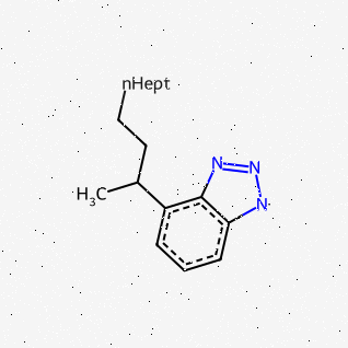 CCCCCCCCCC(C)c1cccc2c1N=N[N]2